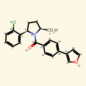 O=C(O)[C@@H]1CC[C@H](c2ccccc2Cl)N1C(=O)c1ccc(-c2ccoc2)cc1